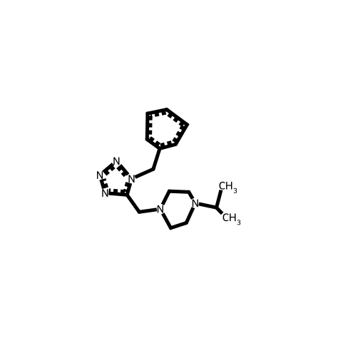 CC(C)N1CCN(Cc2nnnn2Cc2ccccc2)CC1